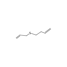 C=CCCSCC=C